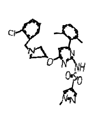 Cc1cccc(C)c1-c1cc(OC2CN(Cc3ccccc3Cl)C2)nc(NS(=O)(=O)c2cnn(C)c2)n1